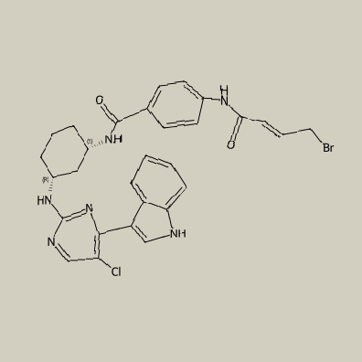 O=C(C=CCBr)Nc1ccc(C(=O)N[C@H]2CCC[C@@H](Nc3ncc(Cl)c(-c4c[nH]c5ccccc45)n3)C2)cc1